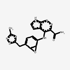 Cc1noc(CC2=CC=C(Nc3c(C(N)=O)nnc4[nH]ccc34)C3OC23)n1